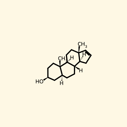 C[C@]12CC[C@H](O)C[C@@H]1CC[C@@H]1[C@@H]2CC[C@]2(C)C=CC[C@@H]12